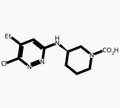 CCc1cc(N[C@@H]2CCCN(C(=O)O)C2)nnc1Cl